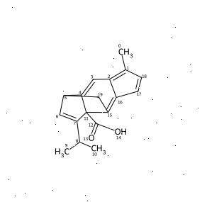 CC1=C2C=C3C4C=C(C(C)C)C3(C(=O)O)C(=C2C=C1)C4